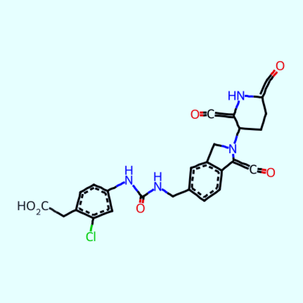 O=C=C1CCC(N2Cc3cc(CNC(=O)Nc4ccc(CC(=O)O)c(Cl)c4)ccc3C2=C=O)C(=C=O)N1